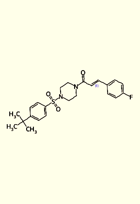 CC(C)(C)c1ccc(S(=O)(=O)N2CCN(C(=O)/C=C/c3ccc(F)cc3)CC2)cc1